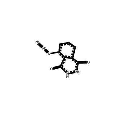 [N-]=[N+]=Nc1cccc2c(=O)[nH][nH]c(=O)c12